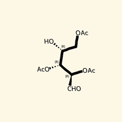 CC(=O)OC[C@@H](O)[C@@H](OC(C)=O)[C@H](C=O)OC(C)=O